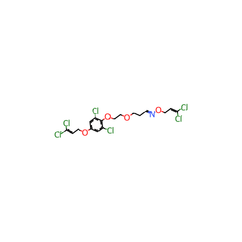 ClC(Cl)=CCON=CCCOCCOc1c(Cl)cc(OCC=C(Cl)Cl)cc1Cl